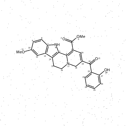 COC(=O)C1=C2c3[nH]c4ccc(OC)cc4c3CCN2CC(C(=O)c2ccccc2O)=C1